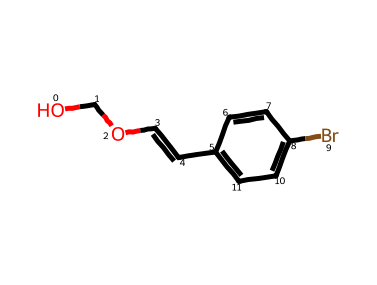 OCOC=Cc1ccc(Br)cc1